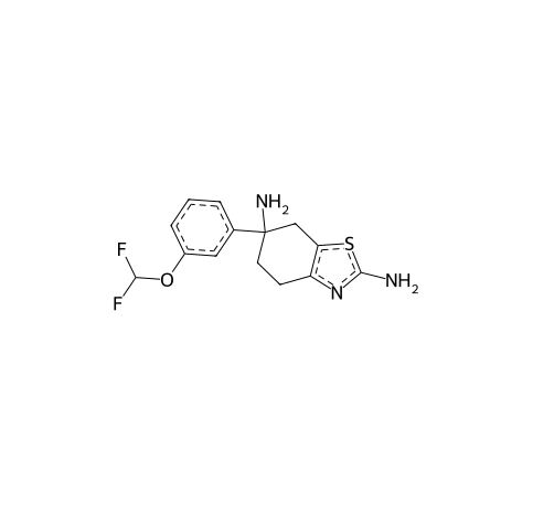 Nc1nc2c(s1)CC(N)(c1cccc(OC(F)F)c1)CC2